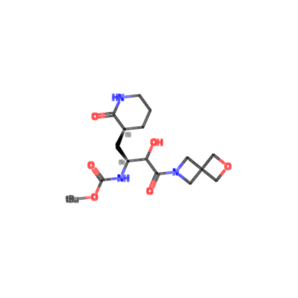 CC(C)(C)OC(=O)N[C@@H](C[C@@H]1CCCNC1=O)C(O)C(=O)N1CC2(COC2)C1